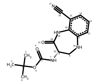 CC(C)(C)OC(=O)N[C@H]1CNc2cccc(C#N)c2NC1=O